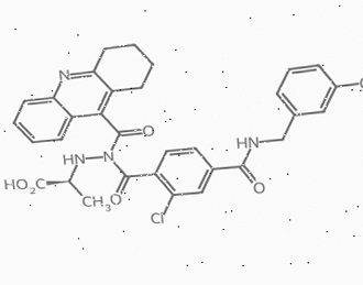 C[C@H](NN(C(=O)c1ccc(C(=O)NCc2cccc(O)c2)cc1Cl)C(=O)c1c2c(nc3ccccc13)CCCC2)C(=O)O